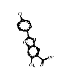 Cc1cc2oc(-c3ccc(Cl)cc3)nc2cc1C(=O)O